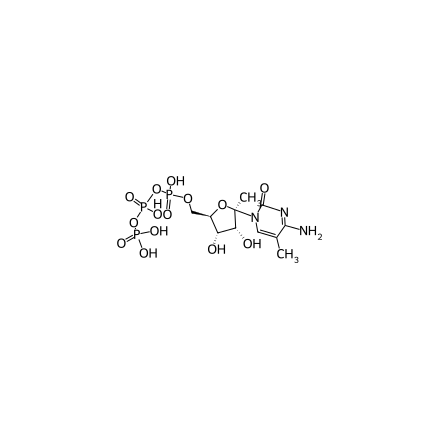 Cc1cn([C@]2(C)O[C@H](COP(=O)(O)OP(=O)(O)OP(=O)(O)O)[C@@H](O)[C@H]2O)c(=O)nc1N